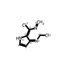 C=N/C(Cl)=C1/NC=C/C1=N/CCl